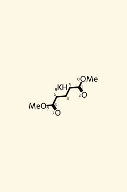 COC(=O)CCCC(=O)OC.[KH]